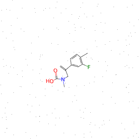 C=C(CN(C)C(=O)O)c1ccc(C)c(F)c1